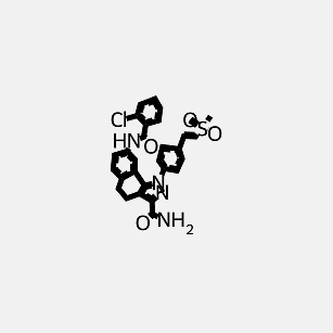 CS(=O)(=O)/C=C/c1ccc(-n2nc(C(N)=O)c3c2-c2cc(NC(=O)c4ccccc4Cl)ccc2CC3)cc1